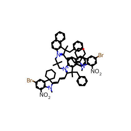 CN1/C(=C/C=C/C2=[N+](CC(C)(C)C[N+]3=C(/C=C/C=C4/N(C)c5c([N+](=O)[O-])cc(Br)cc5C45CCCCC5)C(C)(Cc4ccccc4)c4c3ccc3ccccc43)c3ccc4ccccc4c3C2(C)Cc2ccccc2)C2(CCCCC2)c2cc(Br)cc([N+](=O)[O-])c21